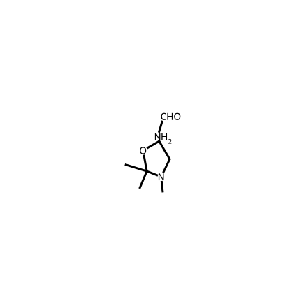 CN1CCOC1(C)C.NC=O